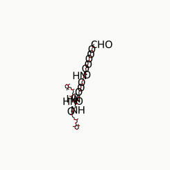 CC1=C(CCC(C)CCCC(C)CC(=O)NCCCC[C@H](NC(=O)CC(C)CCCC(C)CCC2=C(C)CCCC2(C)C)C(=O)NCCCOCCOCCOCCCNC(=O)CCOCCOCCOCCOCCOCCC=O)C(C)(C)CCC1